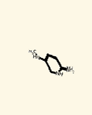 CNC1CCC(N)NC1